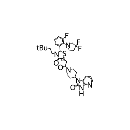 CC(C)(C)CCN1C(=O)[C@H](CC(=O)N2CCC(n3c(=O)[nH]c4ncccc43)CC2)SC1c1cccc(F)c1N1CCC(F)(F)C1